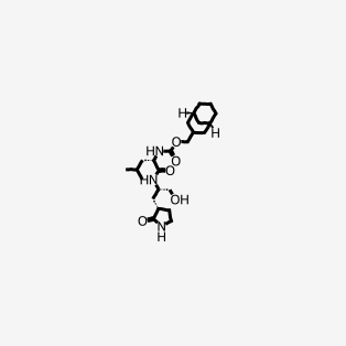 CC(C)C[C@H](NC(=O)OCC1C[C@H]2CCC[C@@H](C1)C2)C(=O)N[C@H](CO)C[C@@H]1CCNC1=O